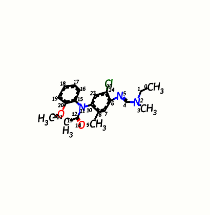 CCN(C)C=Nc1cc(C)c(N(C(C)=O)c2ccccc2OC)cc1Cl